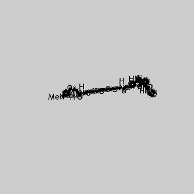 CNc1ccc(C(=O)N[C@@H](C)CC(C(=O)NCCOCCOCCOCCOCCOCCNC(=O)COc2ccc(-c3[nH]nc4c3C(=O)c3c(NC(=O)NN5CCOCC5)cccc3-4)cc2)C(C)(C)C)cc1